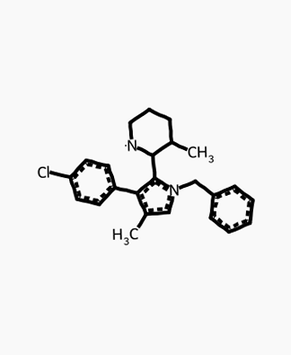 Cc1cn(Cc2ccccc2)c(C2[N]CCCC2C)c1-c1ccc(Cl)cc1